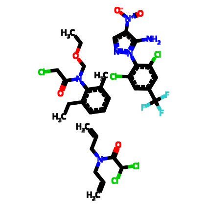 C=CCN(CC=C)C(=O)C(Cl)Cl.CCOCN(C(=O)CCl)c1c(C)cccc1CC.Nc1c([N+](=O)[O-])cnn1-c1c(Cl)cc(C(F)(F)F)cc1Cl